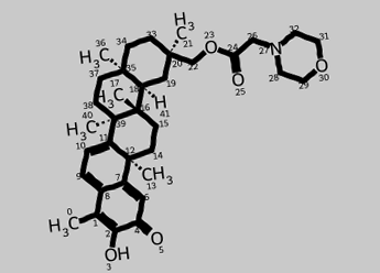 CC1=C(O)C(=O)C=C2C1=CC=C1[C@@]2(C)CC[C@@]2(C)[C@@H]3C[C@](C)(COC(=O)CN4CCOCC4)CC[C@]3(C)CC[C@]12C